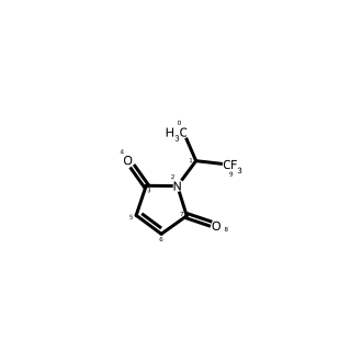 CC(N1C(=O)C=CC1=O)C(F)(F)F